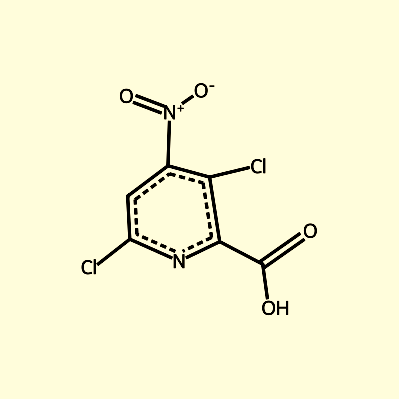 O=C(O)c1nc(Cl)cc([N+](=O)[O-])c1Cl